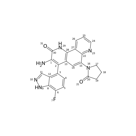 Nc1c(-c2ccc(F)c3[nH]ncc23)c2cc(N3CCCC3=O)c3ncccc3c2[nH]c1=O